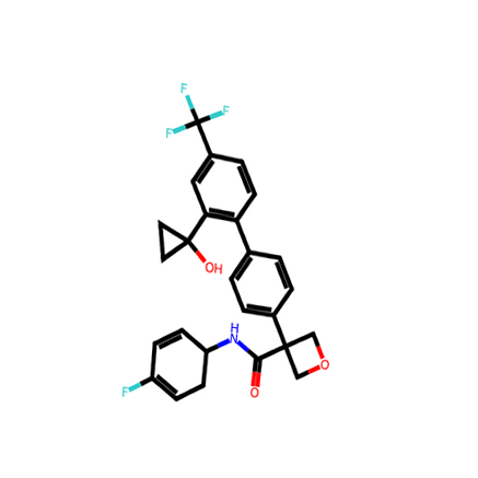 O=C(NC1C=CC(F)=CC1)C1(c2ccc(-c3ccc(C(F)(F)F)cc3C3(O)CC3)cc2)COC1